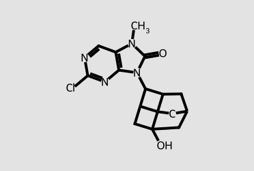 Cn1c(=O)n(C2C3CC4CC5(O)CC2C35C4)c2nc(Cl)ncc21